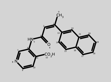 C/C(=C/C(=O)Nc1cnccc1C(=O)O)c1ccc2ccccc2c1